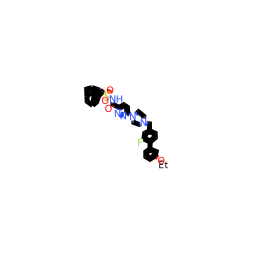 CCOc1cccc(-c2ccc(CN3CCN(c4ccc(C(=O)NS(=O)(=O)CC56CC7CC(CC(C7)C5)C6)nn4)CC3)cc2F)c1